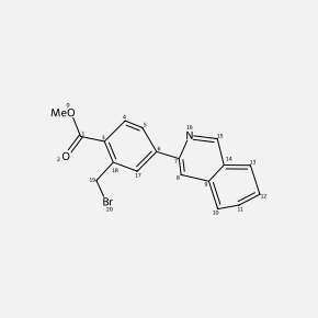 COC(=O)c1ccc(-c2cc3ccccc3cn2)cc1CBr